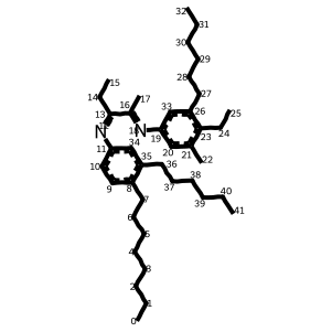 CCCCCCCCc1ccc(N=C(CC)C(C)=Nc2cc(C)c(CC)c(CCCCCC)c2)cc1CCCCCC